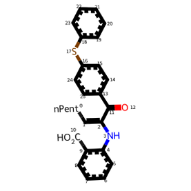 CCCCCC=C(Nc1ccccc1C(=O)O)C(=O)c1ccc(Sc2ccccc2)cc1